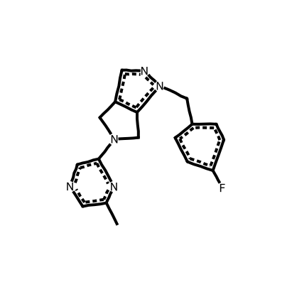 Cc1cncc(N2Cc3cnn(Cc4ccc(F)cc4)c3C2)n1